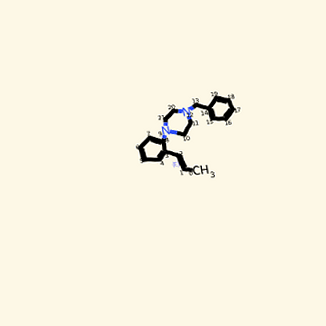 C/C=C/c1ccccc1N1CCN(Cc2ccccc2)CC1